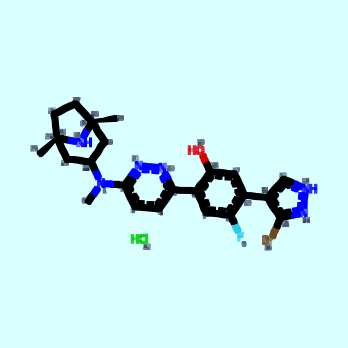 CN(c1ccc(-c2cc(F)c(-c3c[nH]nc3Br)cc2O)nn1)C1C[C@]2(C)CC[C@](C)(C1)N2.Cl